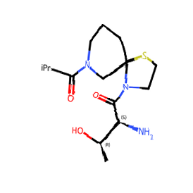 CC(C)C(=O)N1CCCC2(C1)SCCN2C(=O)[C@@H](N)[C@@H](C)O